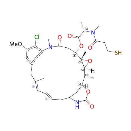 COc1cc2cc(c1Cl)N(C)C(=O)C[C@H](OC(=O)[C@H](C)N(C)C(=O)CCS)[C@]1(C)O[C@H]1[C@H](C)[C@@H]1CC(C/C=C/C=C(\C)C2)NC(=O)O1